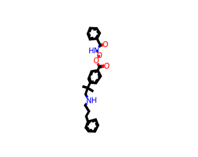 CC(C)(CNCCCc1ccccc1)c1ccc(C(=O)OONC(=O)c2ccccc2)cc1